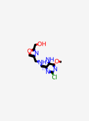 COC1=NC(Cl)=N/C(=C/NCc2coc(CO)n2)C1=N